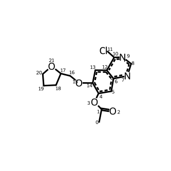 CC(=O)Oc1cc2ncnc(Cl)c2cc1OCC1CCCO1